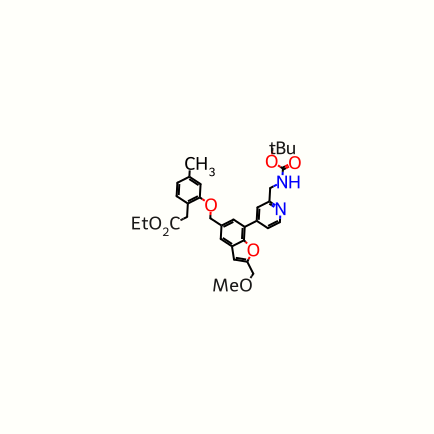 CCOC(=O)Cc1ccc(C)cc1OCc1cc(-c2ccnc(CNC(=O)OC(C)(C)C)c2)c2oc(COC)cc2c1